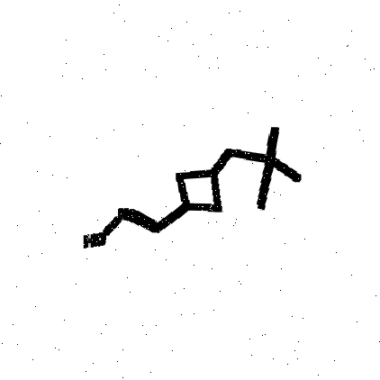 CC(C)(C)CC1CC(C=NO)C1